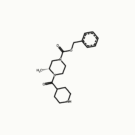 C[C@@H]1CN(C(=O)OCc2ccccc2)CCN1C(=O)C1CCNCC1